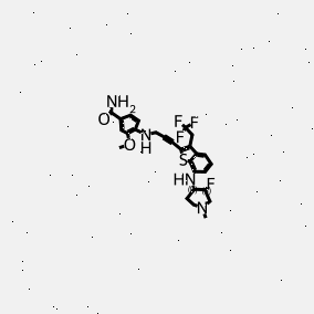 COc1cc(C(N)=O)ccc1NCC#Cc1sc2c(N[C@@H]3CCN(C)C[C@@H]3F)cccc2c1CC(F)(F)F